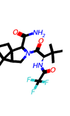 CCC12C(C(N)=O)N(C(=O)[C@@H](NC(=O)C(F)(F)F)C(C)(C)C)CC1C2(C)C